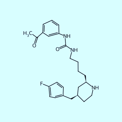 CC(=O)c1cccc(NC(=O)NCCCC[C@@H]2C[C@H](Cc3ccc(F)cc3)CCN2)c1